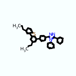 CCCc1ccc2sc3c(-c4ccc(-c5nnc(-c6ccccc6)n5-c5ccccc5)cc4)cc(CCC)cc3c2c1